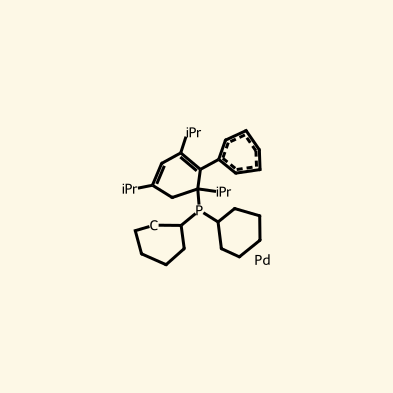 CC(C)C1=CC(C(C)C)=C(c2ccccc2)C(C(C)C)(P(C2CCCCC2)C2CCCCC2)C1.[Pd]